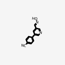 N#Cc1ccc(-c2cncc(/C=N/O)c2)cc1